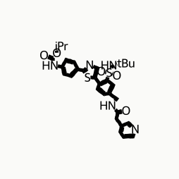 CC(C)OC(=O)Nc1ccc(-c2ncc(-c3ccc(CNC(=O)Cc4cccnc4)cc3S(=O)(=O)NC(C)(C)C)s2)cc1